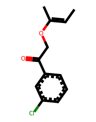 CC=C(C)OCC(=O)c1cccc(Cl)c1